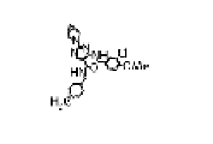 COc1ccc(CNc2nc(N3CC4CC4C3)ncc2C(=O)NCC2CCN(C)CC2)cc1Cl